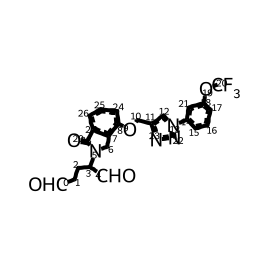 O=CCCC(C=O)N1Cc2c(OCc3cn(-c4cccc(OC(F)(F)F)c4)nn3)cccc2C1=O